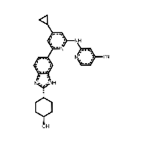 N#Cc1ccnc(Nc2cc(C3CC3)cc(-c3ccc4nc([C@H]5CC[C@H](O)CC5)[nH]c4c3)n2)c1